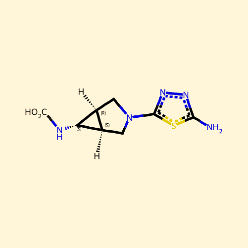 Nc1nnc(N2C[C@@H]3[C@H](C2)[C@H]3NC(=O)O)s1